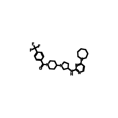 O=C(c1ccc(C(F)(F)F)cc1)N1CCC(N2CCC(Nc3nccc(N4CCCCCC4)n3)C2)CC1